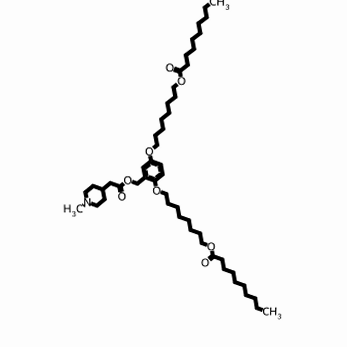 CCCCCCCCCC(=O)OCCCCCCCCOc1ccc(OCCCCCCCCOC(=O)CCCCCCCCC)c(COC(=O)CC2CCN(C)CC2)c1